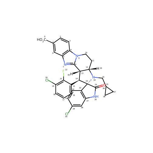 O=C(O)c1ccc2c(c1)nc1n2CC[C@H]2[C@@H]1[C@H](c1cccc(Cl)c1F)[C@]1(C(=O)Nc3cc(Cl)ccc31)N2CC1CC1